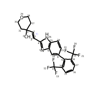 CC1(/C=C/c2nc3cc(-c4c(C(F)(F)F)cccc4C(F)(F)F)ccc3[nH]2)CCOCC1